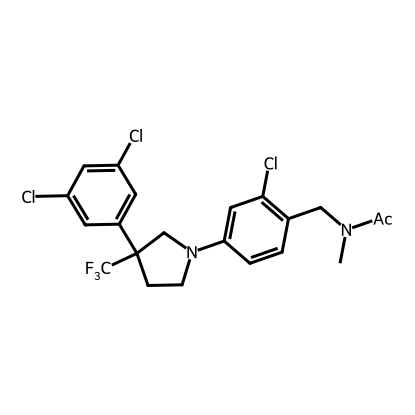 CC(=O)N(C)Cc1ccc(N2CCC(c3cc(Cl)cc(Cl)c3)(C(F)(F)F)C2)cc1Cl